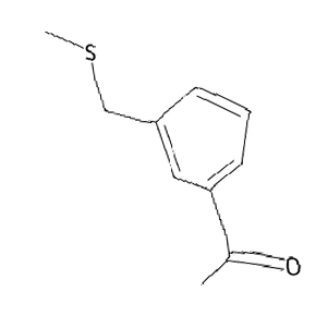 CSCc1cccc(C(C)=O)c1